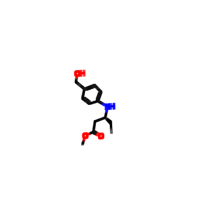 CC[C@@H](CC(=O)OC)Nc1ccc(CO)cc1